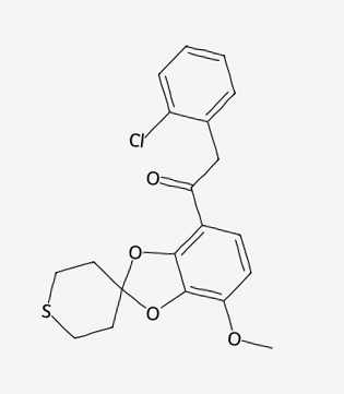 COc1ccc(C(=O)Cc2ccccc2Cl)c2c1OC1(CCSCC1)O2